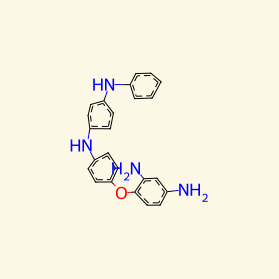 Nc1ccc(Oc2ccc(Nc3ccc(Nc4ccccc4)cc3)cc2)c(N)c1